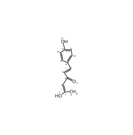 C/C(O)=C\C(=O)/C=C/c1ccc(O)cc1